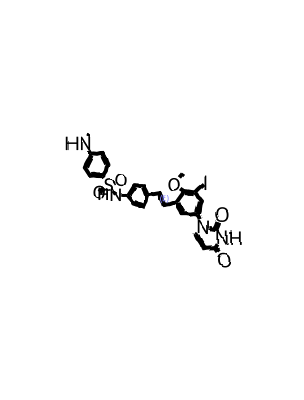 CNc1ccc(S(=O)(=O)Nc2ccc(/C=C/c3cc(-n4ccc(=O)[nH]c4=O)cc(I)c3OC)cc2)cc1